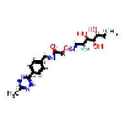 CC[C@@H](O)[C@@H](O)[C@H](O)[C@@H]([18F])/C=N/OCC(=O)NCc1ccc(-c2nnc(C)nn2)cc1